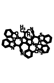 Cc1ccccc1-c1c2/c(=C(\C#N)c3nc4ccccc4s3)n(B3Oc4ccccc4O3)c(C(C)C)c2/c(=C(\C#N)c2nc3ccccc3s2)n1B1Oc2ccccc2O1